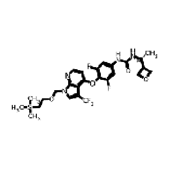 C[C@@H](NC(=O)Nc1cc(F)c(Oc2ccnc3c2c(C(F)(F)F)cn3COCC[Si](C)(C)C)c(F)c1)C1COC1